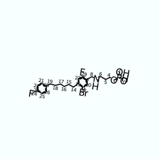 O=[PH](O)OCCCNCc1cc(Br)c(CCCCCCc2ccc(F)cc2)cc1F